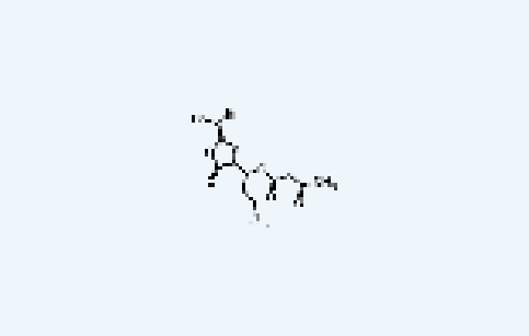 CCCC(OC(=O)CC(C)=O)C1=CC(=C(Br)Br)OC1=O